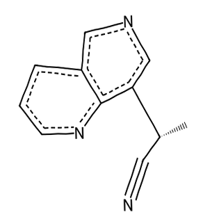 C[C@H](C#N)c1cncc2cccnc12